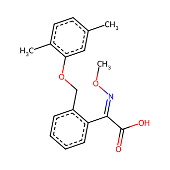 CO/N=C(/C(=O)O)c1ccccc1COc1cc(C)ccc1C